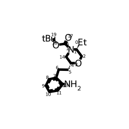 CC[C@@H]1CO[C@H](CCc2ccccc2N)CN1C(=O)OC(C)(C)C